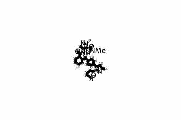 CNS(=O)(=O)c1c(NC(=O)C2CCCCC2C(=O)c2ccc(-c3cc(C)nn3C3CCCCO3)cc2)cnn1C